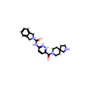 O=C(Nc1ccc(C(=O)N2CCC3(CCNC3)CC2)nn1)N1Cc2ccccc2C1